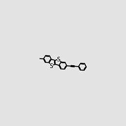 Cc1ccc2c(c1)sc1c3ccc(C#Cc4ccccc4)cc3sc21